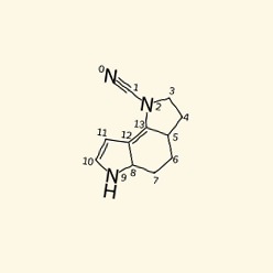 N#CN1CCC2CCC3NC=CC3=C21